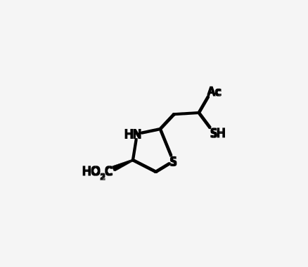 CC(=O)C(S)CC1N[C@H](C(=O)O)CS1